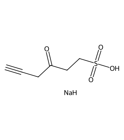 C#CCC(=O)CCS(=O)(=O)O.[NaH]